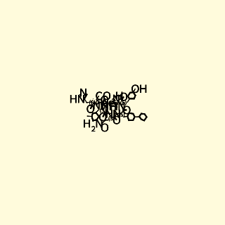 CC(=O)[C@H](C)N(C)C(=O)[C@H](Cc1ccc(O)cc1)NC(=O)[C@H](Cc1ccc(-c2ccccc2)cc1)NC(=O)[C@H](CCC(N)=O)NC(=O)[C@H](Cc1cccc(C)c1)NC(=O)[C@H](CC(=O)O)NC(=O)[C@@H](C)Cc1cnc[nH]1